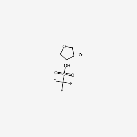 C1CCOC1.O=S(=O)(O)C(F)(F)F.[Zn]